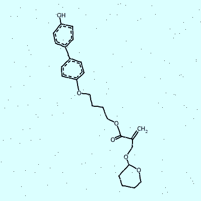 C=C(COC1CCCCO1)C(=O)OCCCCOc1ccc(-c2ccc(O)cc2)cc1